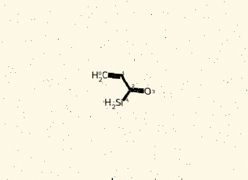 C=CC(=O)[SiH2]